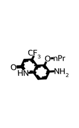 CCCOc1c(N)ccc2[nH]c(=O)cc(C(F)(F)F)c12